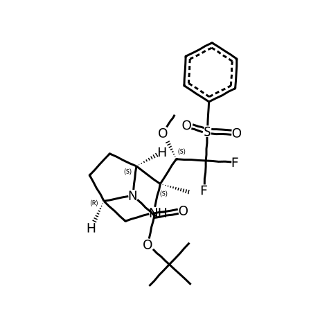 CO[C@H](C(F)(F)S(=O)(=O)c1ccccc1)[C@@]1(C)NC[C@H]2CC[C@@H]1N2C(=O)OC(C)(C)C